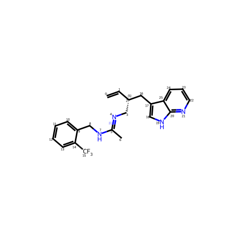 C=C[C@@H](C/N=C(\C)NCc1ccccc1C(F)(F)F)Cc1c[nH]c2ncccc12